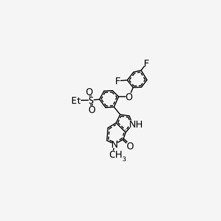 CCS(=O)(=O)c1ccc(Oc2ccc(F)cc2F)c(-c2c[nH]c3c(=O)n(C)ccc23)c1